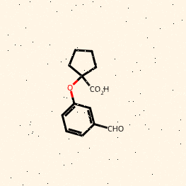 O=Cc1cccc(OC2(C(=O)O)CCCC2)c1